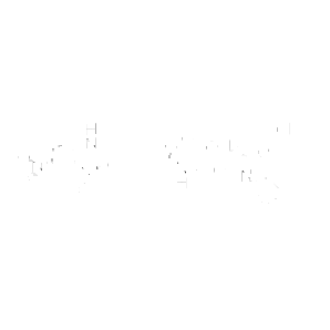 CCOC(=O)N(COC[C@H](NC(=O)CCCCCNc1ccc([N+](=O)[O-])cc1[N+](=O)[O-])C(=O)O)c1ccccc1